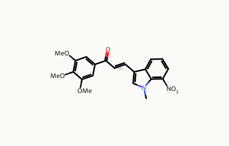 COc1cc(C(=O)/C=C/c2cn(C)c3c([N+](=O)[O-])cccc23)cc(OC)c1OC